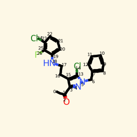 CC(=O)c1nn(Cc2ccccc2)c(Cl)c1CCNc1cccc(Cl)c1F